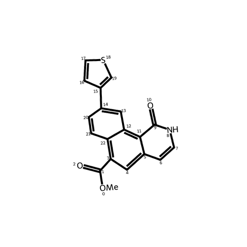 COC(=O)c1cc2cc[nH]c(=O)c2c2cc(-c3ccsc3)ccc12